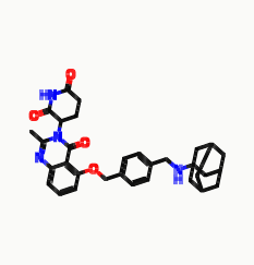 Cc1nc2cccc(OCc3ccc(CNC45CC6CC(CC(C6)C4)C5)cc3)c2c(=O)n1C1CCC(=O)NC1=O